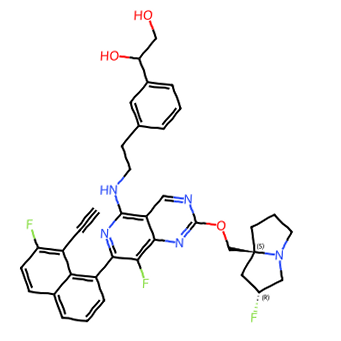 C#Cc1c(F)ccc2cccc(-c3nc(NCCc4cccc(C(O)CO)c4)c4cnc(OC[C@@]56CCCN5C[C@H](F)C6)nc4c3F)c12